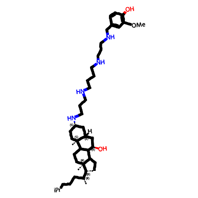 COc1cc(CNCCCNCCCCNCCCN[C@H]2CC[C@]3(C)C4CC[C@@]5(C)C(CC[C@@H]5[C@H](C)CCCC(C)C)C4[C@H](O)C[C@H]3C2)ccc1O